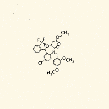 CCOC(=O)CC1OC(c2ccccc2C(F)(F)F)c2cc(Cl)ccc2N(Cc2ccc(OC)cc2OC)C1=O